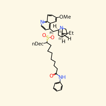 CCCCCCCCCCC(CCCCCCCC(=O)Nc1ccccc1)S(=O)O[C@H](c1ccnc2ccc(OC)cc12)[C@@H]1C[C@@H]2CCN1C[C@@H]2CC